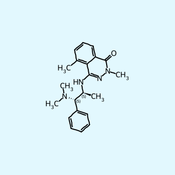 Cc1cccc2c(=O)n(C)nc(N[C@@H](C)[C@H](c3ccccc3)N(C)C)c12